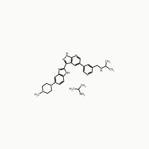 CC(C)N.CC(C)NCc1cncc(-c2cnc3[nH]nc(-c4nc5cc(N6CCN(C)CC6)ccc5[nH]4)c3c2)c1